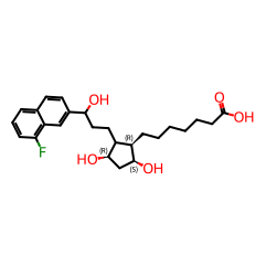 O=C(O)CCCCCC[C@@H]1C(CCC(O)c2ccc3cccc(F)c3c2)[C@H](O)C[C@@H]1O